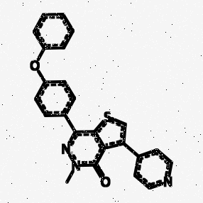 Cn1nc(-c2ccc(Oc3ccccc3)cc2)c2scc(-c3ccncc3)c2c1=O